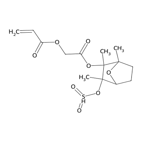 C=CC(=O)OCC(=O)OC1(C)C2(C)CCC(O2)C1(C)O[SH](=O)=O